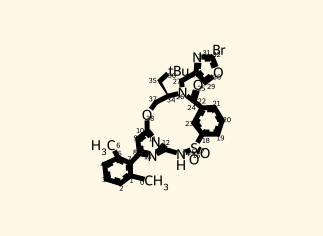 Cc1cccc(C)c1-c1cc2nc(n1)NS(=O)(=O)c1cccc(c1)C(=O)N(Cc1coc(Br)n1)[C@H](CC(C)(C)C)CO2